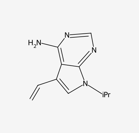 C=Cc1cn(C(C)C)c2ncnc(N)c12